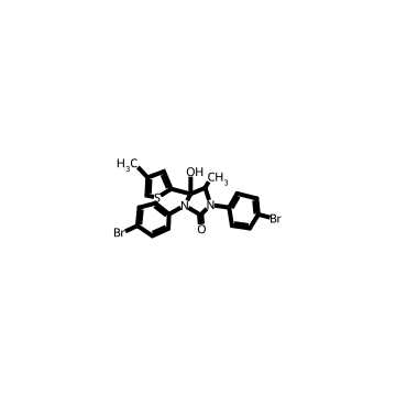 Cc1csc(C2(O)C(C)N(c3ccc(Br)cc3)C(=O)N2c2ccc(Br)cc2)c1